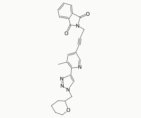 Cc1cc(C#CCN2C(=O)c3ccccc3C2=O)cnc1-c1cn(CC2CCCCO2)nn1